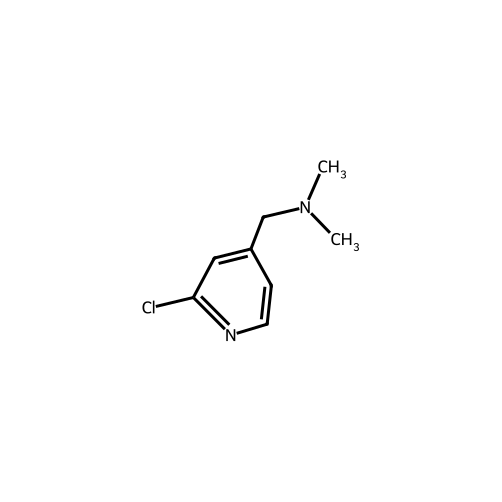 CN(C)Cc1ccnc(Cl)c1